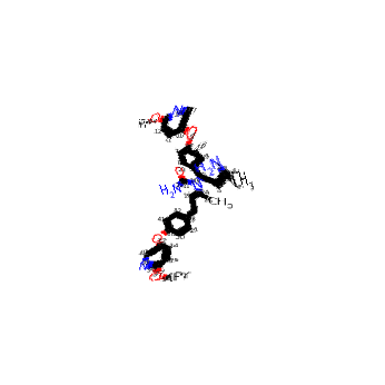 CC(N)CC(c1ccc(Oc2ccc(OC(C)C)nc2)cc1)N(C(N)=O)C(C)CCc1ccc(Oc2ccc(OC(C)C)nc2)cc1